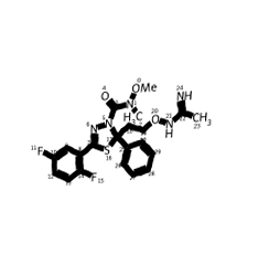 CON(C)C(=O)N1N=C(c2cc(F)ccc2F)SC1(CCONC(C)=N)c1ccccc1